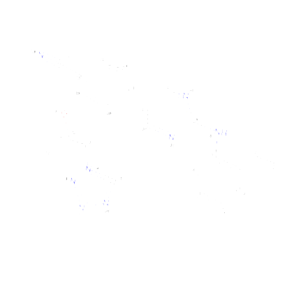 CCc1ccccc1Nc1ncc(-c2ccc(C#N)c(O[C@@H](C)Cn3cnnn3)c2)cn1